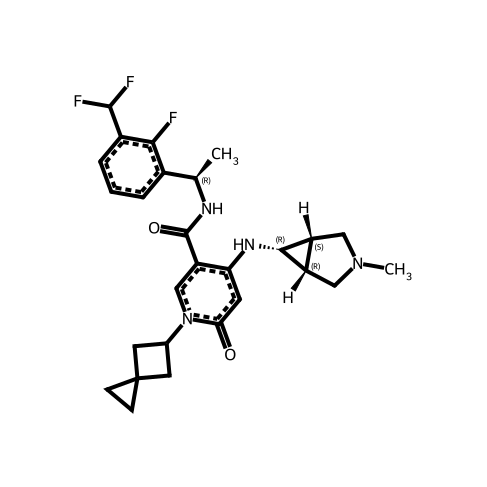 C[C@@H](NC(=O)c1cn(C2CC3(CC3)C2)c(=O)cc1N[C@@H]1[C@@H]2CN(C)C[C@@H]21)c1cccc(C(F)F)c1F